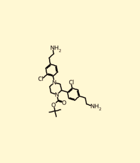 CC(C)(C)OC(=O)N1CCN(c2ccc(CCN)cc2Cl)CC1c1ccc(CCN)cc1Cl